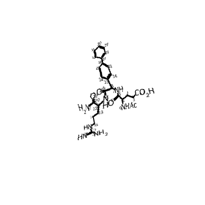 CC(=O)NC(CCC(=O)O)C(=O)NC(C(=O)NC(CCCNC(=N)N)C(N)=O)c1ccc(-c2ccccc2)cc1